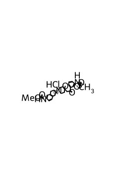 COC(=O)Nc1ccc2c(c1)CC[C@@H](N1CCC3(CC1)CC(=O)c1cc(NS(C)(=O)=O)ccc1O3)C2.Cl